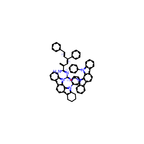 C=C(/C=C(\C=C\c1ccccc1)c1ccccc1)/C(N)=N/C(=N\Cn1c2ccccc2c2ccc3c4ccccc4n(-c4ccccc4)c3c21)n1c2ccccc2c2ccc3c4c(n(-c5ccccc5)c3c21)CCCC4